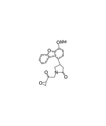 COc1ccc(C2CC(=O)N(CC(=O)C3CO3)C2)c2c1oc1ccccc12